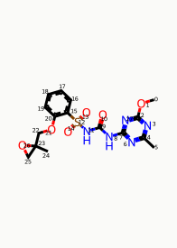 COc1nc(C)nc(NC(=O)NS(=O)(=O)c2ccccc2OCC2(C)CO2)n1